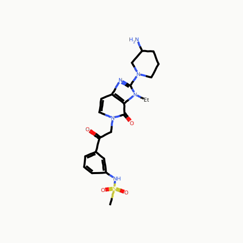 CCn1c(N2CCCC(N)C2)nc2ccn(CC(=O)c3cccc(NS(C)(=O)=O)c3)c(=O)c21